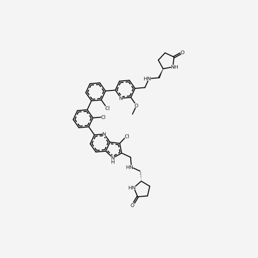 COc1nc(-c2cccc(-c3cccc(-c4ccc5[nH]c(CNC[C@@H]6CCC(=O)N6)c(Cl)c5n4)c3Cl)c2Cl)ccc1CNC[C@H]1CCC(=O)N1